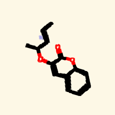 C/C=C/C(C)Oc1cc2ccccc2oc1=O